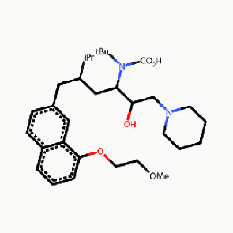 COCCOc1cccc2ccc(CC(CC(C(O)CN3CCCCC3)N(C(=O)O)C(C)(C)C)C(C)C)cc12